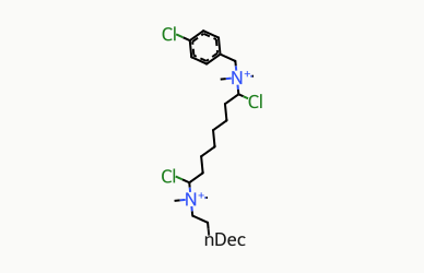 CCCCCCCCCCCC[N+](C)(C)C(Cl)CCCCCCC(Cl)[N+](C)(C)Cc1ccc(Cl)cc1